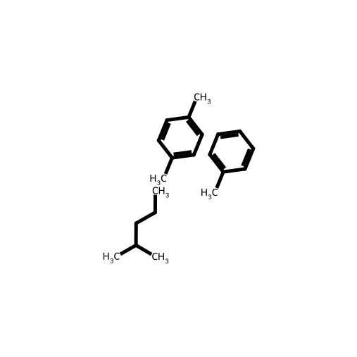 CCCC(C)C.Cc1ccc(C)cc1.Cc1ccccc1